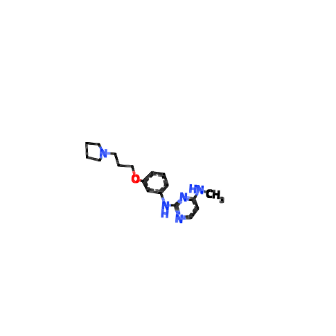 CNc1ccnc(Nc2cccc(OCCCN3CCCC3)c2)n1